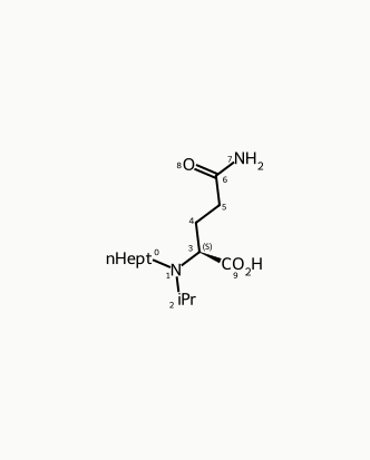 CCCCCCCN(C(C)C)[C@@H](CCC(N)=O)C(=O)O